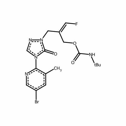 Cc1cc(Br)cnc1-n1cnn(C/C(=C/F)COC(=O)NC(C)(C)C)c1=O